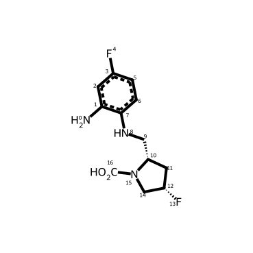 Nc1cc(F)ccc1NC[C@@H]1C[C@H](F)CN1C(=O)O